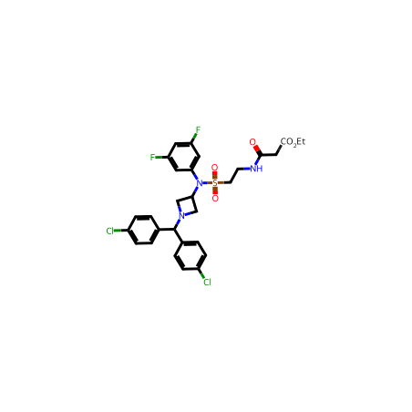 CCOC(=O)CC(=O)NCCS(=O)(=O)N(c1cc(F)cc(F)c1)C1CN(C(c2ccc(Cl)cc2)c2ccc(Cl)cc2)C1